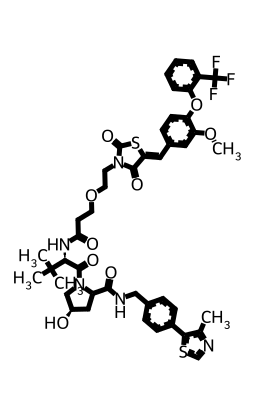 COc1cc(/C=C2\SC(=O)N(CCOCCC(=O)N[C@H](C(=O)N3C[C@H](O)CC3C(=O)NCc3ccc(-c4scnc4C)cc3)C(C)(C)C)C2=O)ccc1Oc1ccccc1C(F)(F)F